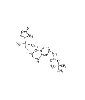 CC(C)(C[C@H]1CNc2cc(NC(=O)OC(C)(C)C(F)(F)F)ccc2O1)c1noc(=O)[nH]1